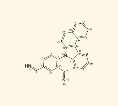 N=Cc1ccc(-n2c3ccccc3c3c4ccccc4ccc32)c(C=N)c1